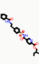 CCC(C)COC(=O)c1ccc(C(=O)NS(=O)(=O)c2ccc(CCNC(=O)c3ccccc3)cc2)cn1